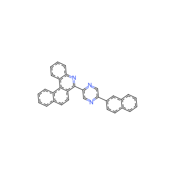 c1ccc2cc(-c3cnc(-c4nc5ccccc5c5c4ccc4ccccc45)cn3)ccc2c1